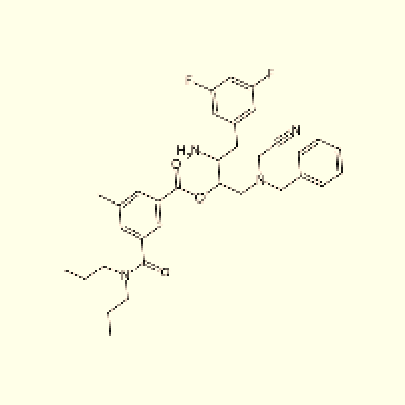 CCCN(CCC)C(=O)c1cc(C)cc(C(=O)OC(CN(CC#N)Cc2ccccc2)C(N)Cc2cc(F)cc(F)c2)c1